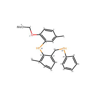 COCOc1ccc(C)cc1Pc1c(C)cccc1CPc1ccccc1